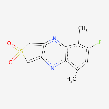 Cc1cc(F)c(C)c2nc3c(nc12)=CS(=O)(=O)C=3